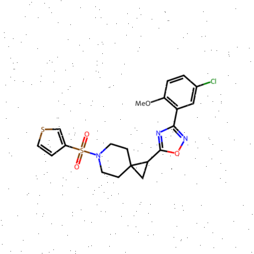 COc1ccc(Cl)cc1-c1noc(C2CC23CCN(S(=O)(=O)c2ccsc2)CC3)n1